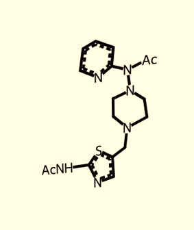 CC(=O)Nc1ncc(CN2CCN(N(C(C)=O)c3ccccn3)CC2)s1